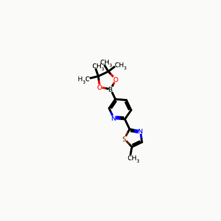 Cc1cnc(-c2ccc(B3OC(C)(C)C(C)(C)O3)cn2)s1